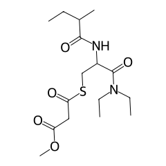 CCC(C)C(=O)NC(CSC(=O)CC(=O)OC)C(=O)N(CC)CC